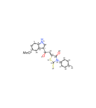 COc1ccc2[nH]cc(C(=O)/C=C3\SC(=S)N(c4ccc(C)cc4)C3=O)c2c1